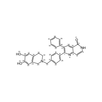 O=c1[nH]ccc2nc(-c3ccc(CN4CCc5cc(O)c(O)cc5C4)cc3)c(-c3ccccc3)cc12